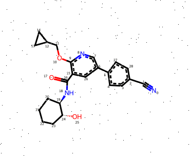 N#Cc1ccc(-c2cnc(OCC3CC3)c(C(=O)N[C@@H]3CCCC[C@H]3O)c2)cc1